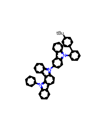 CC(C)(C)c1ccc(-c2ccccc2-n2c3ccccc3c3cc(-n4c5ccccc5c5c4ccc4c6ccccc6n(-c6ccccc6)c45)ccc32)cc1